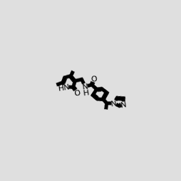 Cc1cc(C)c(CNC(=O)c2ccc(C(C)n3ccnc3)cc2)c(=O)[nH]1